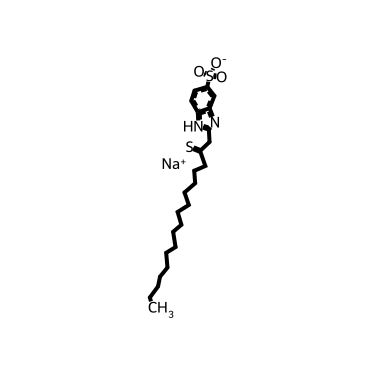 CCCCCCCCCCCCCCCC(=S)Cc1nc2cc(S(=O)(=O)[O-])ccc2[nH]1.[Na+]